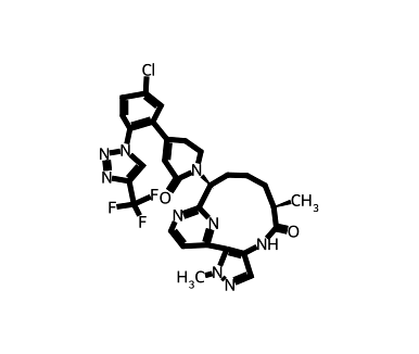 C[C@@H]1CCC[C@H](N2CCC(c3cc(Cl)ccc3-n3cc(C(F)(F)F)nn3)=CC2=O)c2nccc(n2)-c2c(cnn2C)NC1=O